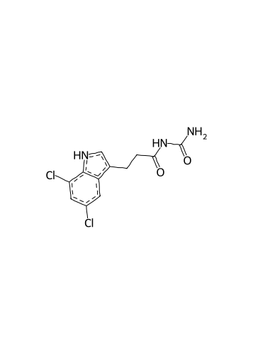 NC(=O)NC(=O)CCc1c[nH]c2c(Cl)cc(Cl)cc12